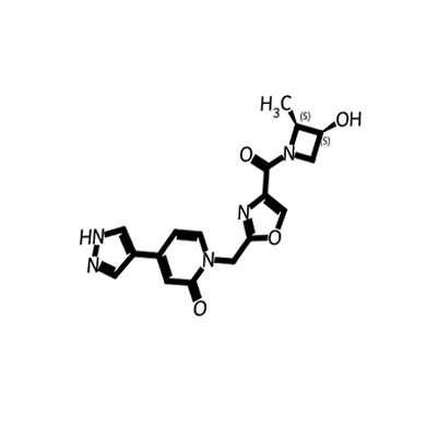 C[C@H]1[C@@H](O)CN1C(=O)c1coc(Cn2ccc(-c3cn[nH]c3)cc2=O)n1